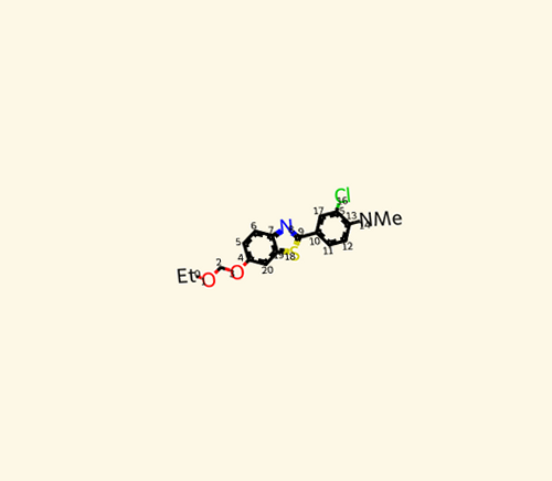 CCOCOc1ccc2nc(-c3ccc(NC)c(Cl)c3)sc2c1